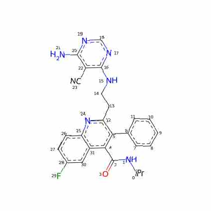 CC(C)NC(=O)c1c(-c2ccccc2)c(CCNc2ncnc(N)c2C#N)nc2ccc(F)cc12